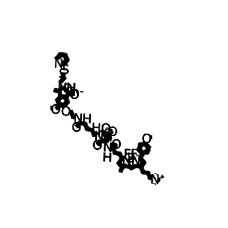 COc1ccc(-c2cc(CCC[N+](C)(C)C)c3n2[B-](F)(F)[N+]2=C(CCC(=O)NC(CS(=O)(=O)O)C(=O)NCCCCC(=O)NCCOc4cc([N+](=O)[O-])c(C(C)NCCSSc5ccccn5)cc4OC)C=C(C)C2=C3)cc1